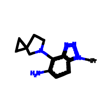 CC(C)n1nnc2c(N3CCC4(CC4)C3)c(N)ccc21